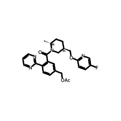 CC(=O)OCc1ccc(-c2ncccn2)c(C(=O)N2C[C@H](COc3ccc(F)cn3)CC[C@H]2C)c1